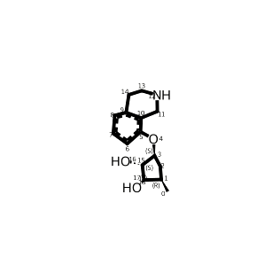 C[C@@H]1C[C@H](Oc2cccc3c2CNCC3)[C@@H](O)[C@H]1O